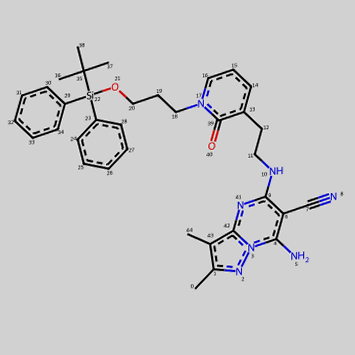 Cc1nn2c(N)c(C#N)c(NCCc3cccn(CCCO[Si](c4ccccc4)(c4ccccc4)C(C)(C)C)c3=O)nc2c1C